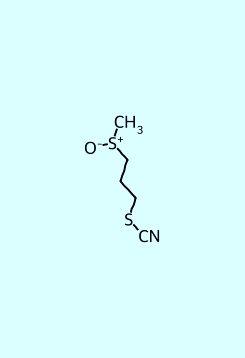 C[S+]([O-])CCCSC#N